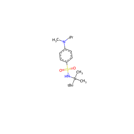 CC(C)N(C)c1ccc(S(=O)(=O)N[Si](C)(C)C(C)(C)C)cc1